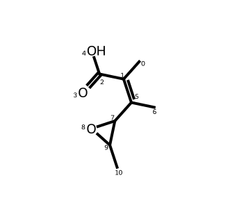 CC(C(=O)O)=C(C)C1OC1C